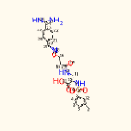 Cc1cccc(S(=O)(=O)N[C@@H](CNC(=O)CCON=Cc2ccc(C(=N)N)cc2)C(=O)O)c1